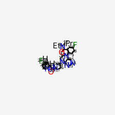 CCN(C(=O)c1cc(F)ccc1N1CCN([C@@H]2CCN(C(=O)[C@H]3NC4CC=C3[C@@H](F)C4)C2)c2ncncc21)C(C)C